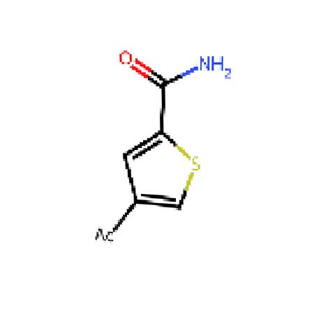 [CH2]C(=O)c1csc(C(N)=O)c1